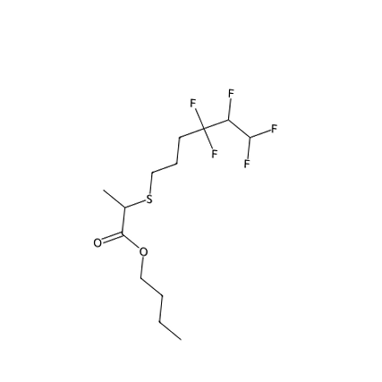 CCCCOC(=O)C(C)SCCCC(F)(F)C(F)C(F)F